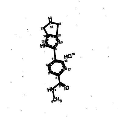 CNC(=O)c1ccc(-c2nc3c([nH]2)CNC3)cn1.Cl